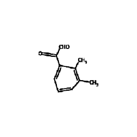 Cc1cccc(C(=O)C=O)c1C